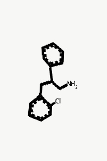 NCC(Cc1ccccc1Cl)c1ccccc1